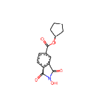 O=C(OC1CCCC1)c1ccc2c(c1)C(=O)N(O)C2=O